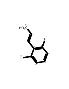 O=C(O)C=Cc1c(F)cccc1Cl